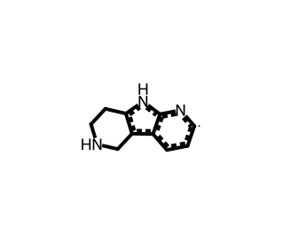 [c]1ccc2c3c([nH]c2n1)CCNC3